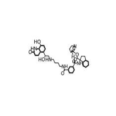 O=C(NCCCCNCC(O)c1ccc(O)c2[nH]c(=O)ccc12)c1cccc(C(=O)NC2(C(=O)O[C@H]3CN4CCC3CC4)CCc3ccccc32)c1